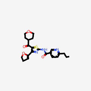 CCCc1ccc(C(=O)Nc2nc(C3=CCCO3)c(C(=O)C3CCOCC3)s2)cn1